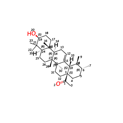 CC(=O)[C@]12CC[C@@H](C)[C@H](C)[C@H]1C1=CC[C@@H]3[C@@]4(C)CC[C@H](O)C(C)(C)[C@@H]4CC[C@@]3(C)[C@]1(C)CC2